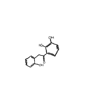 O=C(Cc1ccccc1O)c1cccc(O)c1O